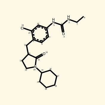 CCNC(=O)Nc1ccc(CC2CCN(C3CCCCC3)C2=O)c(Cl)c1